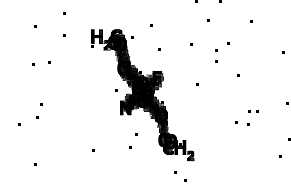 C=CC(=O)OCCCCCCCCOc1ccc(C2CCC(C(=O)Oc3c4cc(-c5ccc(C#N)cc5)sc4c(OC(=O)C4CCC(c5ccc(OCCCCCCCCOC(=O)C=C)cc5)CC4)c4cc(-c5ccc(F)cc5)sc34)CC2)cc1